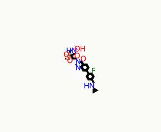 CC[C@@](CCn1cnc2cc(-c3ccc(CNC4CC4)cc3F)ccc2c1=O)(C(=O)NO)S(C)(=O)=O